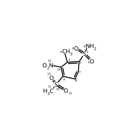 Cc1c(S(N)(=O)=O)ccc(S(C)(=O)=O)c1[N+](=O)[O-]